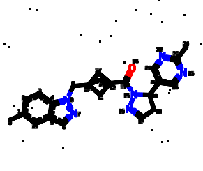 Cc1ccc2c(cnn2CC23CC(C(=O)N4N=CCC4c4cnc(C)nc4)(C2)C3)c1